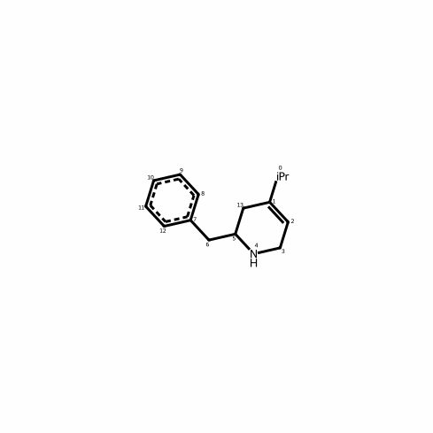 CC(C)C1=CCNC(Cc2ccccc2)C1